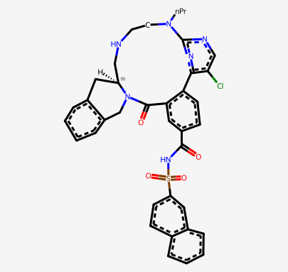 CCCN1CCNC[C@@H]2Cc3ccccc3CN2C(=O)c2cc(C(=O)NS(=O)(=O)c3ccc4ccccc4c3)ccc2-c2nc1ncc2Cl